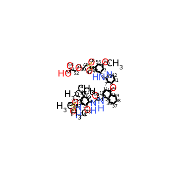 COc1cc(Nc2cc(Oc3ccc(NC(=O)Nc4cc(C(C)(C)C)cc(NS(C)(=O)=O)c4OC)c4ccccc34)ccn2)cc(S(=O)(=O)CCOCC(=O)O)c1